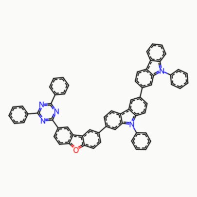 c1ccc(-c2nc(-c3ccccc3)nc(-c3ccc4oc5ccc(-c6ccc7c8cc(-c9ccc%10c%11ccccc%11n(-c%11ccccc%11)c%10c9)ccc8n(-c8ccccc8)c7c6)cc5c4c3)n2)cc1